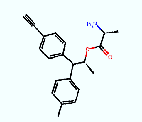 C#Cc1ccc(C(c2ccc(C)cc2)[C@H](C)OC(=O)[C@H](C)N)cc1